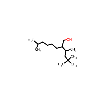 CC(C)CCCCC(CO)C(C)CC(C)(C)C